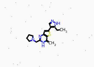 C=C1NC(CN2CCCC2)=Nc2cc(-c3cn[nH]c3CC)sc21